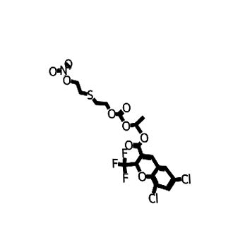 CC(OC(=O)OCCSCCO[N+](=O)[O-])OC(=O)C1=Cc2cc(Cl)cc(Cl)c2OC1C(F)(F)F